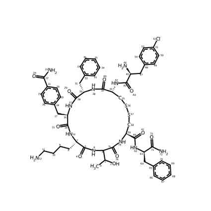 CC(O)C1NC(=O)[C@H](CCCCN)NC(=O)[C@@H](Cc2ccc(C(N)=O)cc2)NC(=O)[C@H](Cc2ccccc2)NC(=O)[C@H](NC(=O)[C@@H](N)Cc2ccc(Cl)cc2)CSSC[C@@H](C(=O)N[C@H](Cc2ccccc2)C(N)=O)NC1=O